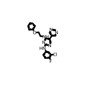 Fc1ccc(Nc2ncc(-c3cncnc3)c(NCCOc3ccccc3)n2)cc1Cl